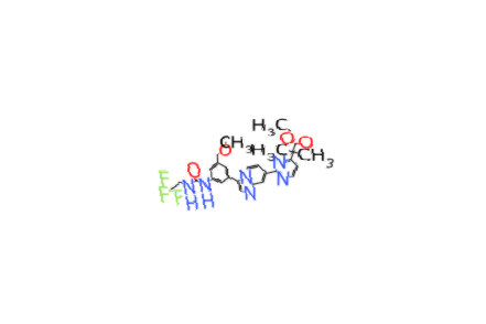 CCOC(=O)C(C)(C)c1ccnc(-c2ccn3c(-c4cc(COC)cc(NC(=O)NCC(F)(F)F)c4)cnc3c2)n1